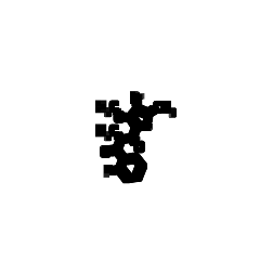 COc1c(C(=O)C(C)C(=O)c2ccccc2F)sc(C)c1Br